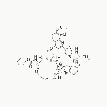 COc1ccc2c(O[C@@H]3C[C@H]4C(=O)N[C@]5(P(=O)(O)Cc6c(F)cccc6F)C[C@H]5CCCCCOC[C@H](NC(=O)OC5CCCC5)C(=O)N4C3)cc(-c3csc(NC(C)C)n3)nc2c1Cl